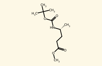 COC(=O)CC[C@@H](C)NC(=O)OC(C)(C)C